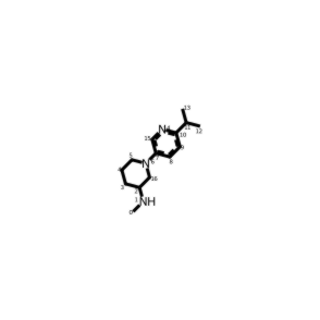 CNC1CCCN(c2ccc(C(C)C)nc2)C1